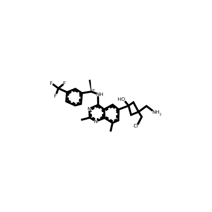 Cc1nc(N[C@H](C)c2cccc(C(F)(F)F)c2)c2cc(C3(O)CC(CN)(CCl)C3)cc(C)c2n1